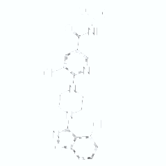 C[S+]([O-])NC(=O)c1cnc(N2CCN(c3noc4cccc(Cl)c34)CC2)c(Cl)c1